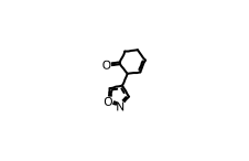 O=C1CCC=CC1c1cnoc1